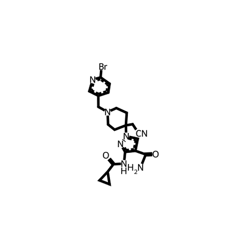 N#CCC1(n2cc(C(N)=O)c(NC(=O)C3CC3)n2)CCN(Cc2ccc(Br)nc2)CC1